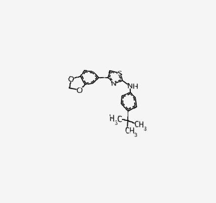 CC(C)(C)c1ccc(Nc2nc(-c3ccc4c(c3)OCO4)cs2)cc1